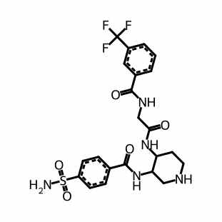 NS(=O)(=O)c1ccc(C(=O)NC2CNCCC2NC(=O)CNC(=O)c2cccc(C(F)(F)F)c2)cc1